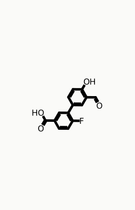 O=Cc1cc(-c2cc(C(=O)O)ccc2F)ccc1O